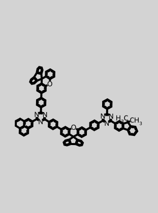 CC1(C)c2ccccc2-c2ccc(-c3nc(-c4ccccc4)nc(-c4ccc(-c5ccc6c(c5)Oc5cc(-c7ccc(-c8nc(-c9ccc(-c%10ccc%11c(c%10)Oc%10ccccc%10C%11%10c%11ccccc%11-c%11ccccc%11%10)cc9)nc(-c9cc%10c%11c(cccc%11c9)CC=C%10)n8)cc7)ccc5C65c6ccccc6-c6ccccc65)cc4)n3)cc21